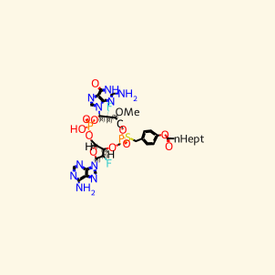 CCCCCCCC(=O)Oc1ccc(CSP2(=O)CO[C@H]3[C@@H](F)[C@H](n4cnc5c(N)ncnc54)O[C@@H]3COP(=O)(O)O[C@@H](n3cnc4c(=O)[nH]c(N)nc43)[C@H](F)[C@H](OC)CO2)cc1